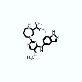 COc1cnc(N2CCCNC(C(C)C)C2)nc1Nc1ccc2[nH]ncc2c1